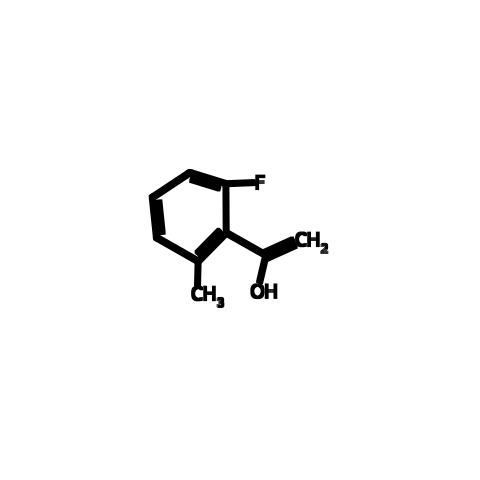 C=C(O)c1c(C)cccc1F